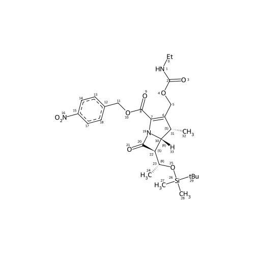 CCNC(=O)OCC1=C(C(=O)OCc2ccc([N+](=O)[O-])cc2)N2C(=O)[C@H]([C@@H](C)O[Si](C)(C)C(C)(C)C)[C@H]2[C@H]1C